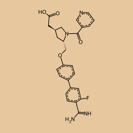 N=C(N)c1ccc(-c2ccc(OC[C@@H]3C[C@@H](CC(=O)O)CN3C(=O)c3cccnc3)cc2)cc1F